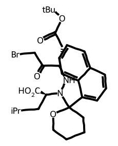 CC(C)C[C@@H](C(=O)O)N(N[C@@H](CC(=O)OC(C)(C)C)C(=O)CBr)C1(c2cccc3ccccc23)CCCCO1